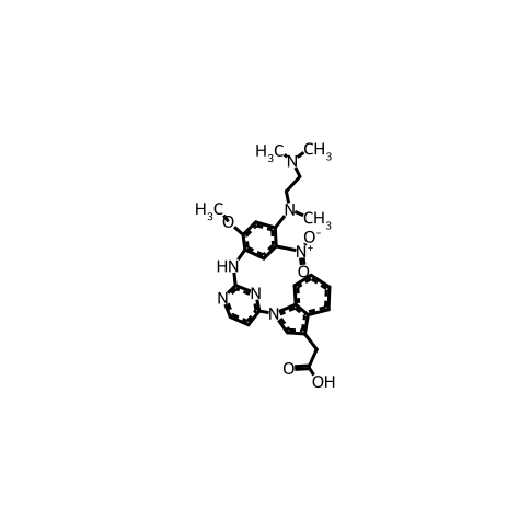 COc1cc(N(C)CCN(C)C)c([N+](=O)[O-])cc1Nc1nccc(-n2cc(CC(=O)O)c3ccccc32)n1